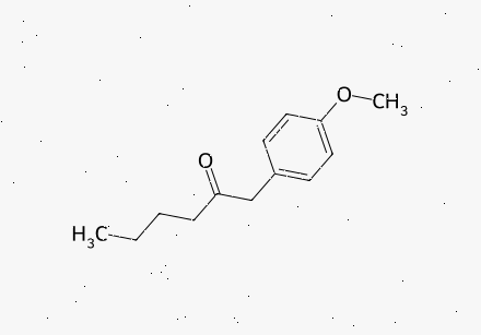 CCCCC(=O)Cc1ccc(OC)cc1